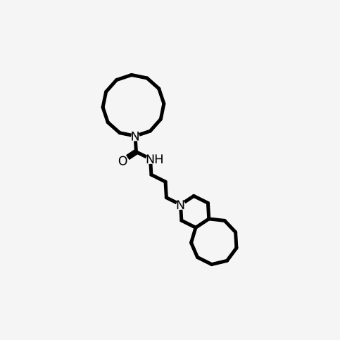 O=C(NCCCN1CCC2CCCCCCCC2C1)N1CCCCCCCCCCC1